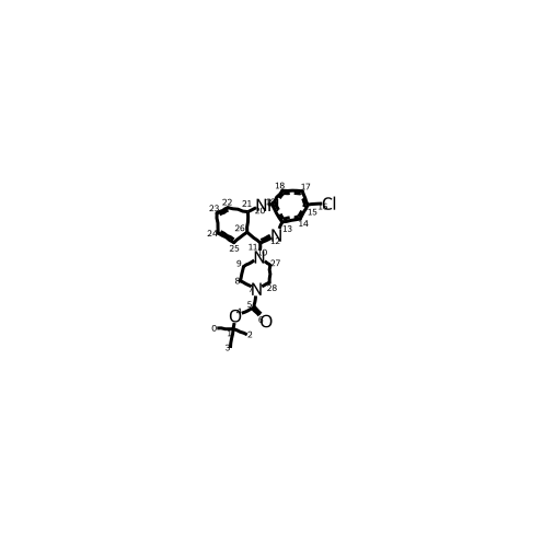 CC(C)(C)OC(=O)N1CCN(C2=Nc3cc(Cl)ccc3NC3C=CC=CC23)CC1